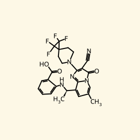 Cc1cc([C@@H](C)Nc2ccccc2C(=O)O)c2nc(N3CCC4(CC3)C(F)(F)C4(F)F)c(C#N)c(=O)n2c1